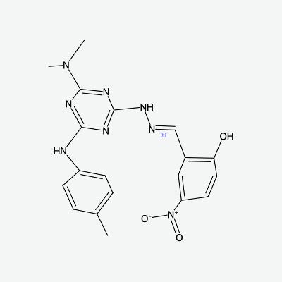 Cc1ccc(Nc2nc(N/N=C/c3cc([N+](=O)[O-])ccc3O)nc(N(C)C)n2)cc1